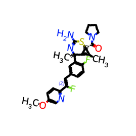 COc1ccc(/C(F)=C/c2ccc(F)c([C@@]3(C)N=C(N)S[C@@]4(C(=O)N5CCCC5)C(C)=C43)c2)nc1